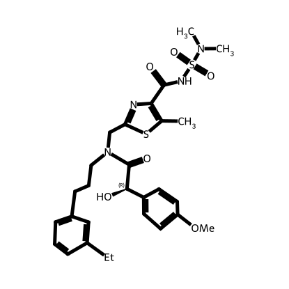 CCc1cccc(CCCN(Cc2nc(C(=O)NS(=O)(=O)N(C)C)c(C)s2)C(=O)[C@H](O)c2ccc(OC)cc2)c1